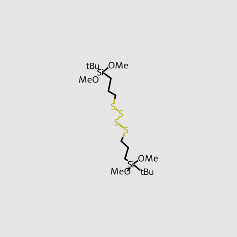 CO[Si](CCCSSSSCCC[Si](OC)(OC)C(C)(C)C)(OC)C(C)(C)C